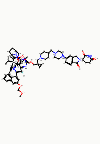 COCOc1cc(-c2ncc3c(N4CC5CCC(C4)N5C(=O)OC(C)(C)C)nc(OCC4(CN5CCC(CN6CCN(c7ccc8c(c7)CN([C@H]7CCC(=O)NC7=O)C8=O)CC6)CC5)CC4)nc3c2F)c2c(C#C[Si](C(C)C)(C(C)C)C(C)C)cccc2c1